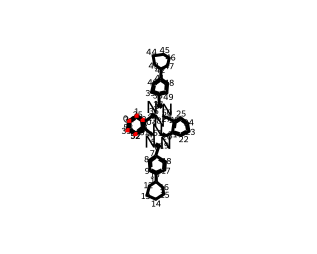 c1ccc(-c2nc(-c3ccc(C4CCCCC4)cc3)nc(-c3ccccc3-c3nc(-c4ccccc4)nc(-c4ccc(C5CCCCC5)cc4)n3)n2)cc1